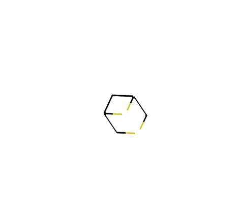 C1SCC2CC1S2